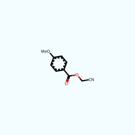 COc1ccc(C(=O)OCC#N)cc1